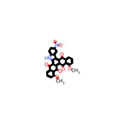 COc1cccc2c(=O)c3c4[nH]c5ccc([N+](=O)[O-])cc5c4c4c(=O)c5cccc(OC)c5c(=O)c4c3c(=O)c12